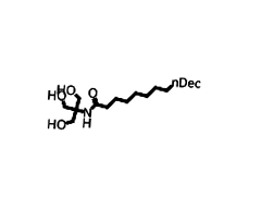 CCCCCCCCCCCCCCCCCC(=O)NC(CO)(CO)CO